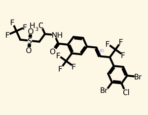 CC(CS(=O)(=O)CC(F)(F)F)NC(=O)c1ccc(/C=C/C(c2cc(Br)c(Cl)c(Br)c2)C(F)(F)F)cc1C(F)(F)F